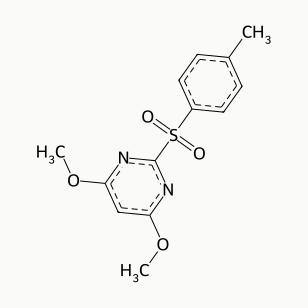 COc1cc(OC)nc(S(=O)(=O)c2ccc(C)cc2)n1